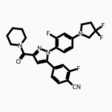 N#Cc1ccc(-c2cc(C(=O)N3CCCCC3)nn2-c2ccc(N3CCC(F)(F)C3)cc2F)cc1F